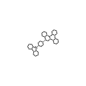 c1ccc2c(c1)c(-c1ccc(-n3c4ccccc4c4ccccc43)cc1)cc1c3ccccc3c3ccccc3c21